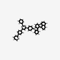 c1ccc(-c2nc(-c3ccc(-c4ccccn4)cc3)cc(-c3ccc(-n4c5ccccc5c5c6c(ccc54)-c4cccc5cccc-6c45)cc3)n2)cc1